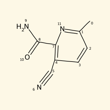 Cc1ccc(C#N)c(C(N)=O)n1